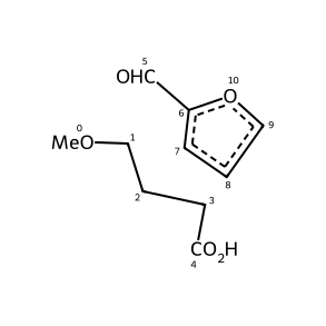 COCCCC(=O)O.O=Cc1ccco1